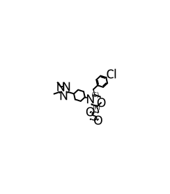 Cc1nc(C2CCC(N3C[C@H](CS(C)(=O)=O)OC[C@@H]3Cc3ccc(Cl)cc3)CC2)nn1C